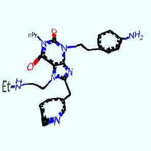 CCCn1c(=O)c2c(nc(Cc3cccnc3)n2CCNCC)n(CCc2ccc(N)cc2)c1=O